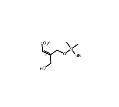 CC(C)(C)[Si](C)(C)OC/C(=C\C(=O)O)CO